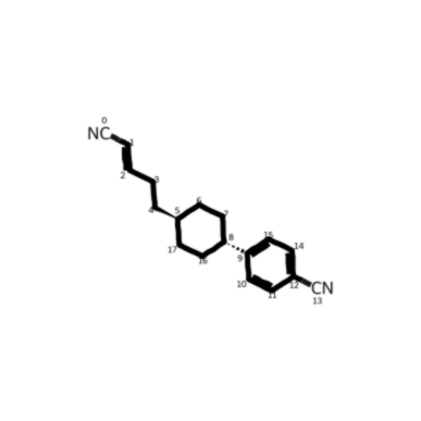 N#C/C=C/CC[C@H]1CC[C@H](c2ccc(C#N)cc2)CC1